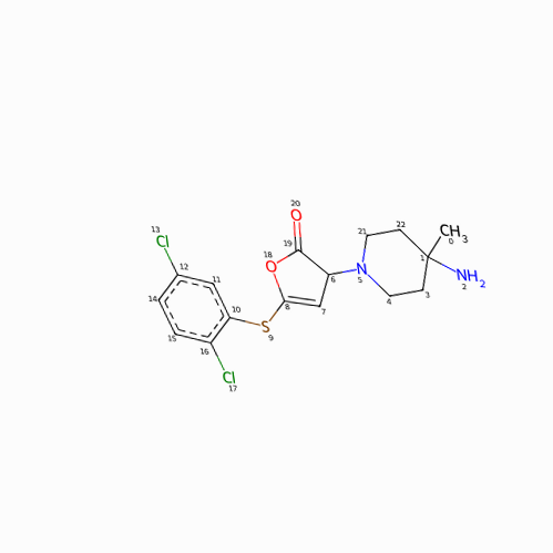 CC1(N)CCN(C2C=C(Sc3cc(Cl)ccc3Cl)OC2=O)CC1